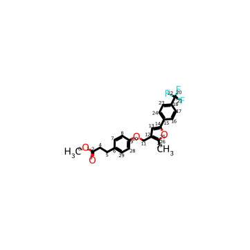 COC(=O)CCc1ccc(OCc2cc(-c3ccc(C(F)(F)F)cc3)oc2C)cc1